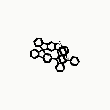 c1ccc(-c2c3ccccc3c(-c3ccc4c(c3)C3(c5ccccc5-4)c4ccccc4-c4cc5sc6ccc7ncccc7c6c5cc43)c3ccccc23)cc1